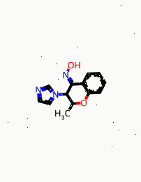 CC1Oc2ccccc2C(=NO)C1n1ccnc1